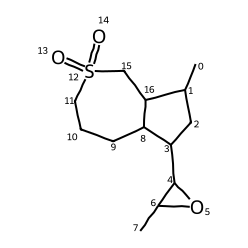 CC1CC(C2OC2C)C2CCCS(=O)(=O)CC12